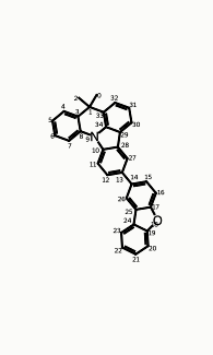 CC1(C)c2ccccc2-n2c3ccc(-c4ccc5oc6ccccc6c5c4)cc3c3cccc1c32